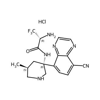 C[C@@H]1CNC[C@](NC(=O)[C@@H](N)C(F)(F)F)(c2ccc(C#N)c3nccnc23)C1.Cl